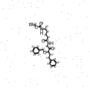 C[C@@H](CCCC(=O)NCC(=O)C(CCc1ccccc1)OCc1ccccc1)NC(=O)OC(C)(C)C